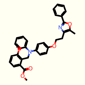 COC(=O)c1cccc(OC)c1CN(c1ccccc1)c1ccc(OCCc2nc(-c3ccccc3)oc2C)cc1